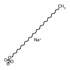 CCCCCCCCCCCCCCCCCCCCCCCCCCOS(=O)(=O)[O-].[Na+]